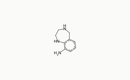 Nc1cccc2c1NCCNC2